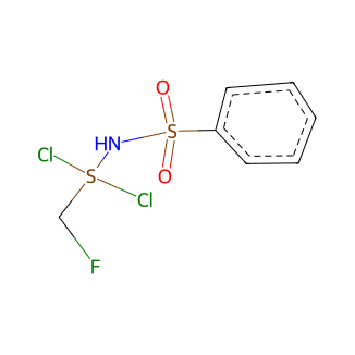 O=S(=O)(NS(Cl)(Cl)CF)c1ccccc1